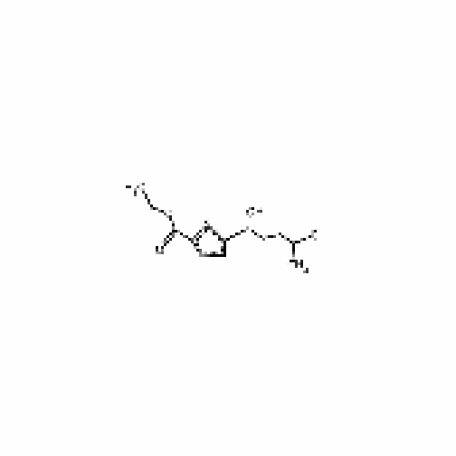 CCOC(=O)c1ccc([C@H](O)CCC(C)C)s1